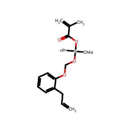 C=CCc1ccccc1OCO[Si](CCC)(OC)OC(=O)C(=C)C